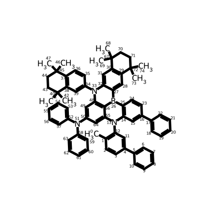 Cc1ccc(-c2ccccc2)cc1N1c2cc(-c3ccccc3)ccc2B2c3cc4c(cc3N(c3ccc5c(c3)C(C)(C)CCC5(C)C)c3cc(N(c5ccccc5)c5ccccc5)cc1c32)C(C)(C)CCC4(C)C